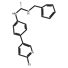 CCc1ccc(-c2ccc(N[C@H](C)NCc3ccccc3)cc2)cn1